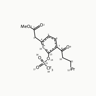 COC(=O)Cc1ccc(C(=O)CCC(C)C)c(OS(=O)(=O)C(F)(F)F)c1